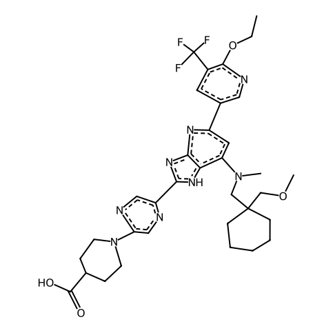 CCOc1ncc(-c2cc(N(C)CC3(COC)CCCCC3)c3[nH]c(-c4cnc(N5CCC(C(=O)O)CC5)cn4)nc3n2)cc1C(F)(F)F